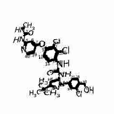 CNC(=O)Nc1cc(Oc2ccc(NC(=O)Nc3cc(C(C)(C)C)nn3-c3ccc(CO)c(Cl)c3)c(Cl)c2Cl)ccn1